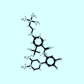 CC1CN(c2cc(F)c(Br)cc2NC(=O)c2cnc(OCC[Si](C)(C)C)cc2C(F)(F)F)CCN1C